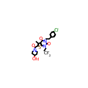 Cc1c(C(=O)N2CCC(O)CC2)sc2c1c(=O)n(CCc1ccc(Cl)cc1)c(=O)n2CCC(F)(F)F